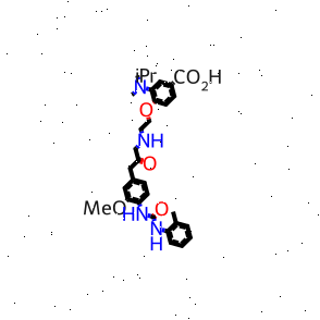 COc1cc(CC(=O)CNCCOc2ccc(C(=O)O)cc2N(C)C(C)C)ccc1NC(=O)Nc1ccccc1C